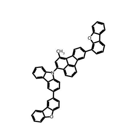 Cc1cc(-n2c3ccccc3c3cc(-c4ccc5oc6ccccc6c5c4)ccc32)c2cccc3c2c1-c1ccc(-c2cccc4c2oc2ccccc24)cc1-3